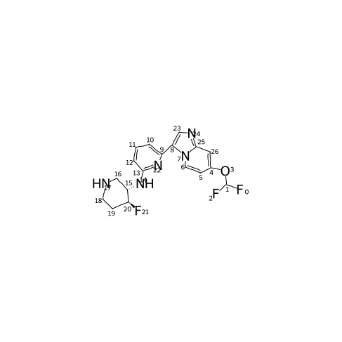 FC(F)Oc1ccn2c(-c3cccc(N[C@H]4CNCC[C@@H]4F)n3)cnc2c1